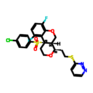 O=S(=O)(c1ccc(Cl)cc1)[C@@]12CCO[C@@H](CCSc3cccnn3)[C@@H]1COc1c(F)ccc(F)c12